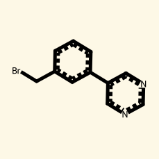 BrCc1cccc(-c2cncnc2)c1